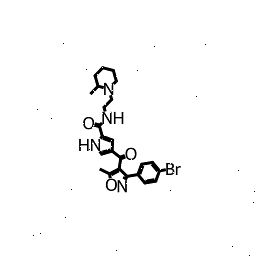 Cc1onc(-c2ccc(Br)cc2)c1C(=O)c1c[nH]c(C(=O)NCCN2CCCCC2C)c1